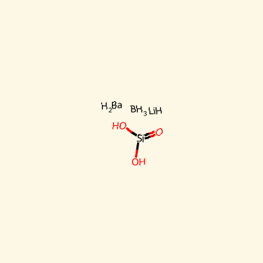 B.O=[Si](O)O.[BaH2].[LiH]